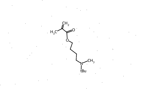 C=C(C)C(=O)OCCCCN(C)C(C)(C)C